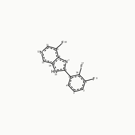 Fc1cccc(-c2nc3c(F)cncc3[nH]2)c1F